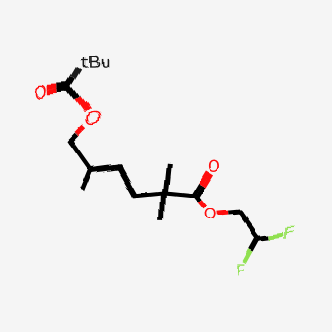 CC(CCC(C)(C)C(=O)OCC(F)F)COC(=O)C(C)(C)C